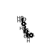 O=C(O)Nc1ccc(CNC2=NN=C(n3c(=O)[nH]c4ccccc43)CS2)cc1